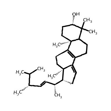 CC(C)[C@@H](C)/C=C/[C@@H](C)[C@H]1CC=C2C3=C(CC[C@@]21C)[C@@]1(C)CC[C@H](O)C(C)(C)C1CC3